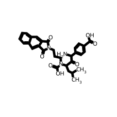 CC(C)CC(C(=O)C(N)c1ccc(C(=O)O)cc1)N(CCCN1C(=O)c2cc3ccccc3cc2C1=O)C(=O)O